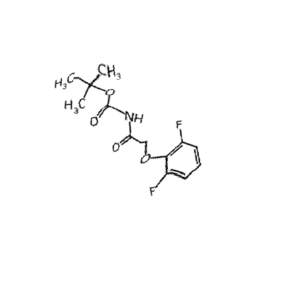 CC(C)(C)OC(=O)NC(=O)COc1c(F)cccc1F